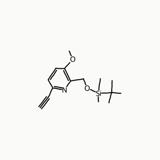 C#Cc1ccc(OC)c(CO[Si](C)(C)C(C)(C)C)n1